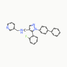 Fc1ccccc1-c1c(CNCc2cccnc2)cnn1-c1ccc(-c2ccccc2)cc1